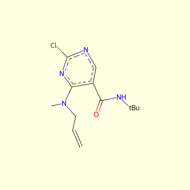 C=CCN(C)c1nc(Cl)ncc1C(=O)NC(C)(C)C